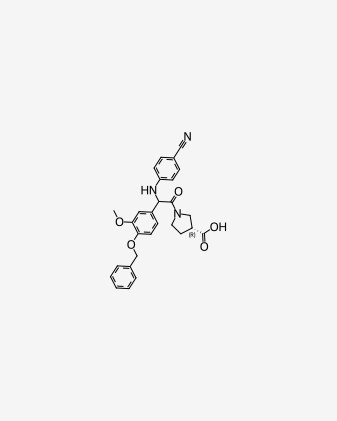 COc1cc(C(Nc2ccc(C#N)cc2)C(=O)N2CC[C@@H](C(=O)O)C2)ccc1OCc1ccccc1